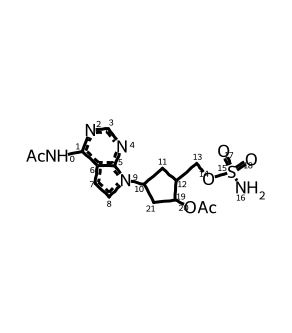 CC(=O)Nc1ncnc2c1ccn2C1CC(COS(N)(=O)=O)C(OC(C)=O)C1